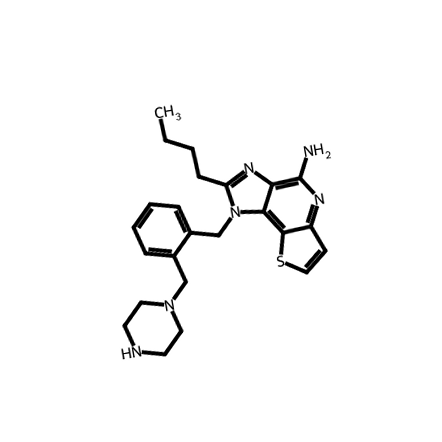 CCCCc1nc2c(N)nc3ccsc3c2n1Cc1ccccc1CN1CCNCC1